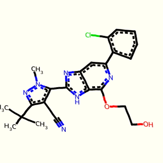 Cn1nc(C(C)(C)C)c(C#N)c1-c1nc2cc(-c3ccccc3Cl)nc(OCCO)c2[nH]1